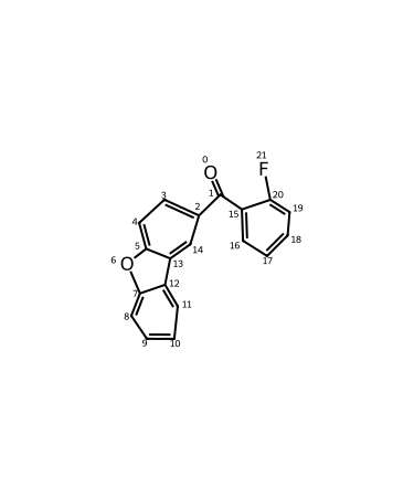 O=C(c1ccc2oc3ccccc3c2c1)c1ccccc1F